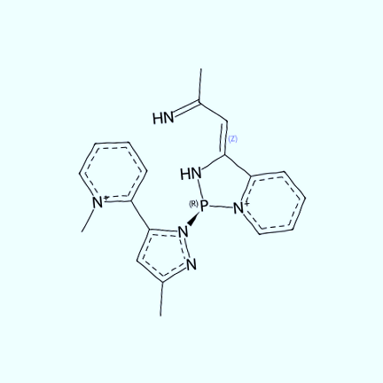 CC(=N)/C=C1\N[P@](n2nc(C)cc2-c2cccc[n+]2C)[n+]2ccccc21